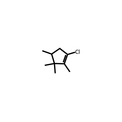 CC1=C(Cl)CC(C)C1(C)C